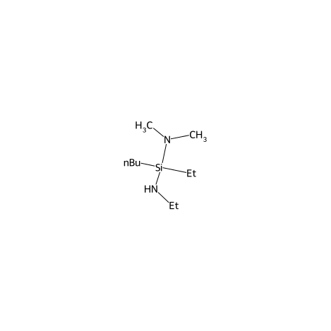 CCCC[Si](CC)(NCC)N(C)C